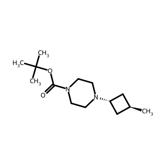 CC(C)(C)OC(=O)N1CCN([C@H]2C[C@H](C)C2)CC1